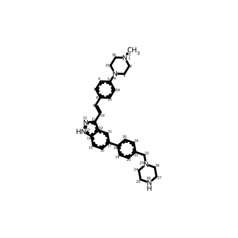 CN1CCN(c2ccc(/C=C/c3n[nH]c4ccc(-c5ccc(CN6CCNCC6)cc5)cc34)cc2)CC1